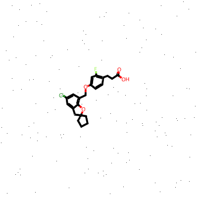 O=C(O)CCc1ccc(OCc2cc(Cl)cc3c2OC2(CCCC2)C3)cc1F